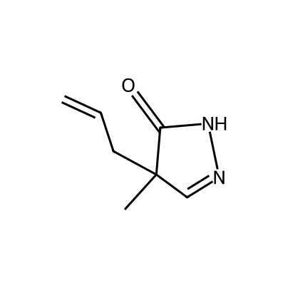 C=CCC1(C)C=NNC1=O